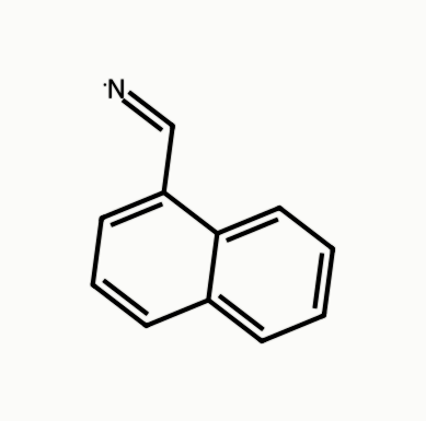 [N]=Cc1cccc2ccccc12